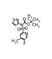 Cc1cc(S(=O)(=O)N(C(=O)OC(C)(C)C)c2ccsn2)ncc1F